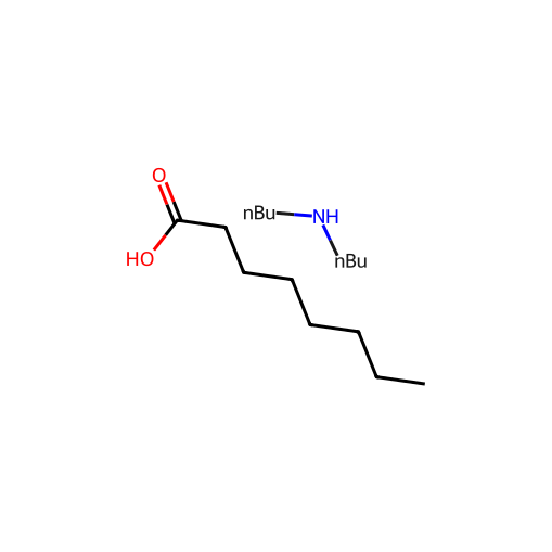 CCCCCCCC(=O)O.CCCCNCCCC